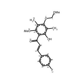 COCOc1c(C)c(O)c(C(=O)/C=C/c2ccc(F)cc2)c(OC)c1C